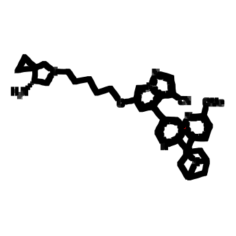 COc1ccc(CN2C3CC2CN(c2ccc(-c4cc(OCCCCCN5C[C@H](N)C6(CC6)C5)cn5ncc(C#N)c45)cn2)C3)cn1